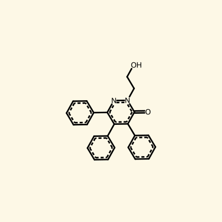 O=c1c(-c2ccccc2)c(-c2ccccc2)c(-c2ccccc2)nn1CCO